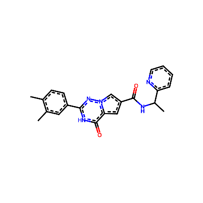 Cc1ccc(-c2nn3cc(C(=O)NC(C)c4ccccn4)cc3c(=O)[nH]2)cc1C